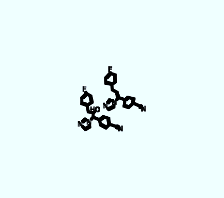 N#Cc1ccc(C(=CCc2ccc(F)cc2)n2ccnc2)cc1.N#Cc1ccc(C(C(O)Cc2ccc(F)cc2)n2ccnc2)cc1